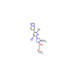 COCCC(=O)N1CCN(c2nc(C3CC3)c(-c3ccc4nccn4c3)cc2C#N)C[C@H]1C